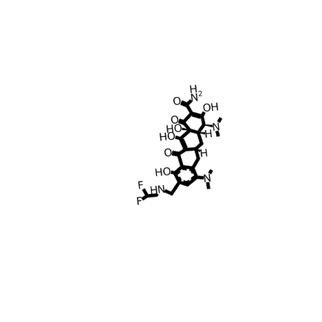 CN(C)c1cc(CNCC(F)F)c(O)c2c1C[C@H]1C[C@H]3[C@H](N(C)C)C(O)=C(C(N)=O)C(=O)[C@@]3(O)C(O)=C1C2=O